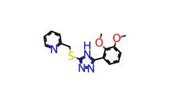 COc1cccc(-c2nnc(SCc3ccccn3)[nH]2)c1OC